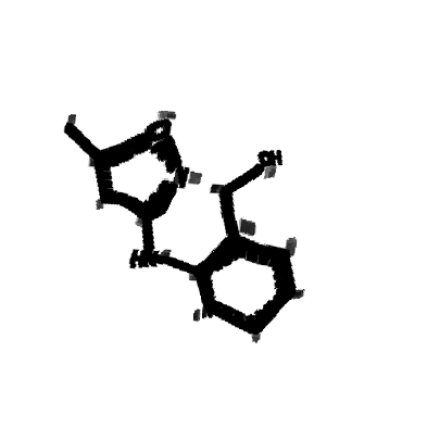 Cc1cc(Nc2ncccc2CO)no1